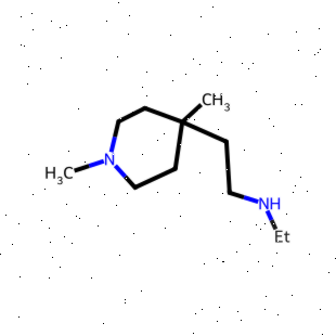 CCNCCC1(C)CCN(C)CC1